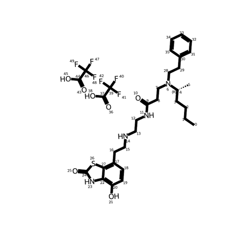 CCCC[C@@H](C)N(CCC(=O)NCCNCCc1ccc(O)c2[nH]c(=O)sc12)CCc1ccccc1.O=C(O)C(F)(F)F.O=C(O)C(F)(F)F